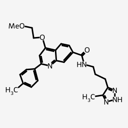 COCCOc1cc(-c2ccc(C)cc2)nc2cc(C(=O)NCCCc3n[nH]nc3C)ccc12